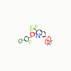 CC1(C)OB(c2ccc3cc(C(F)(F)F)c(OCc4ccc(Cl)cc4F)nc3c2)OC1(C)C